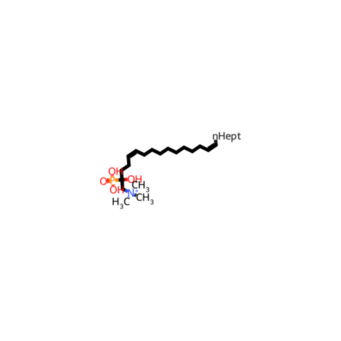 CCCCCCC/C=C\CCCCCCCC/C=C\CCC(O)(C[N+](C)(C)C)P(=O)(O)O